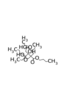 CCCCOC(=O)C(CC(CC)CCCC)(CC(CC)CCCC)C(O)(CC(=O)O)C(=O)O